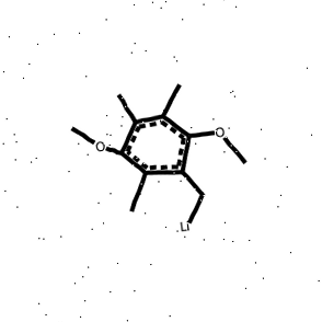 [Li][CH2]c1c(C)c(OC)c(C)c(C)c1OC